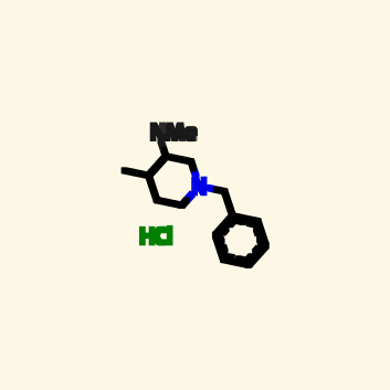 CNC1CN(Cc2ccccc2)CCC1C.Cl